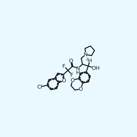 [2H]C(O)(c1ccc2c(c1)OCCO2)C(CN1CCCC1)NC(=O)C(F)(F)c1cc2cc(Cl)ccc2o1